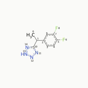 CC(c1ccc(F)c(F)c1)c1nn[nH]n1